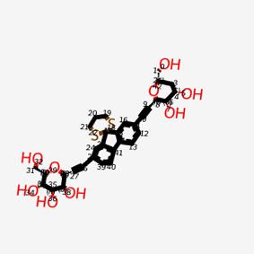 OC[C@@H]1C[C@H](O)[C@H](O)[C@@H](C#Cc2ccc3c(c2)C2(SCCCS2)c2cc(C#C[C@H]4O[C@H](CO)[C@@H](O)[C@H](O)[C@@H]4O)ccc2-3)O1